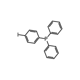 Ic1ccc(P(c2ccccc2)c2ccccc2)cc1